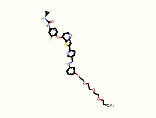 COCCOCCOCCOCCOc1cccc(NCc2ccc(-c3cc4nccc(Oc5ccc(NC(=O)NC6CC6)cc5F)c4s3)nc2)c1